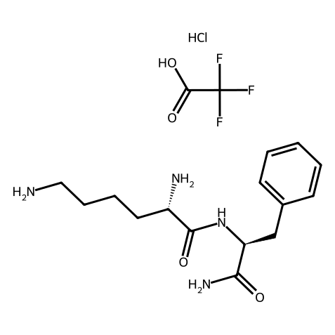 Cl.NCCCC[C@H](N)C(=O)N[C@@H](Cc1ccccc1)C(N)=O.O=C(O)C(F)(F)F